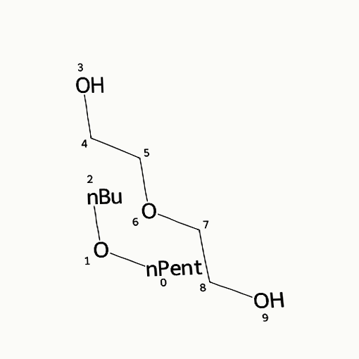 CCCCCOCCCC.OCCOCCO